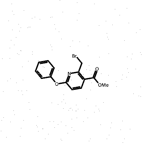 COC(=O)c1ccc(Oc2ccccc2)nc1CBr